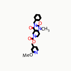 COc1cc(COC(=O)N2CCc3c(c(=O)n(Cc4ccccc4)c(=O)n3C)C2)ccn1